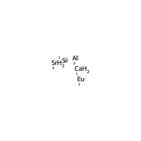 [Al].[CaH2].[Eu].[Si].[SrH2]